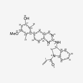 C=CC(=O)N1CC(Nc2ncc3cc(-c4c(C)c(O)cc(OC)c4C)ccc3n2)c2ccccc21